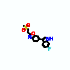 CS(=O)(=O)CCc1nc2ccc(-c3c[nH]c4cc(F)ccc34)cc2o1